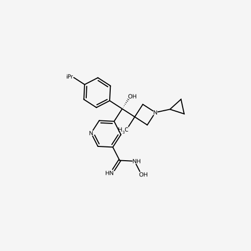 CC(C)c1ccc([C@](O)(c2cncc(C(=N)NO)c2)C2(C)CN(C3CC3)C2)cc1